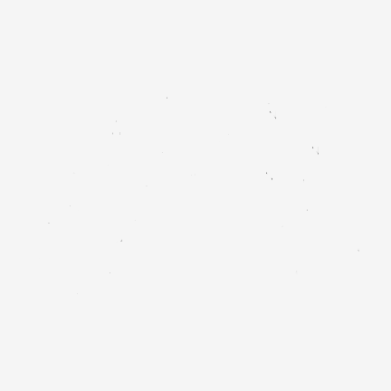 Clc1nc(-c2ccccc2)nc(-c2ccc3oc4cc5ccccc5cc4c3c2)n1